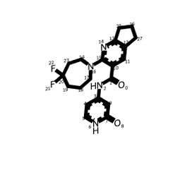 O=C(Nc1cc[nH]c(=O)c1)c1cc2c(nc1N1CCCC(F)(F)CC1)CCC2